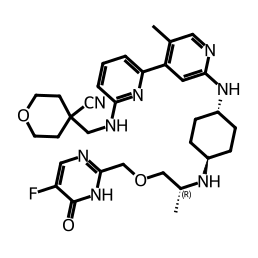 Cc1cnc(N[C@H]2CC[C@H](N[C@H](C)COCc3ncc(F)c(=O)[nH]3)CC2)cc1-c1cccc(NCC2(C#N)CCOCC2)n1